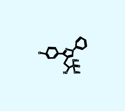 COP(=O)(OC)C(O)Cc1cn(-c2ccccc2)nc1-c1ccc(Cl)cc1